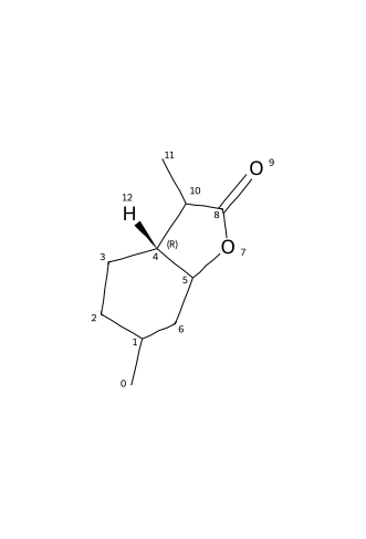 CC1CC[C@H]2C(C1)OC(=O)C2C